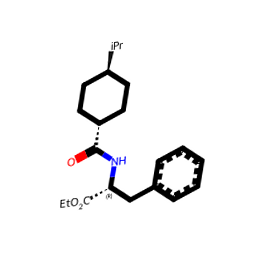 CCOC(=O)[C@@H](Cc1ccccc1)NC(=O)[C@H]1CC[C@H](C(C)C)CC1